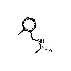 Cc1ccccc1CN[C@@H](C)C(C)C